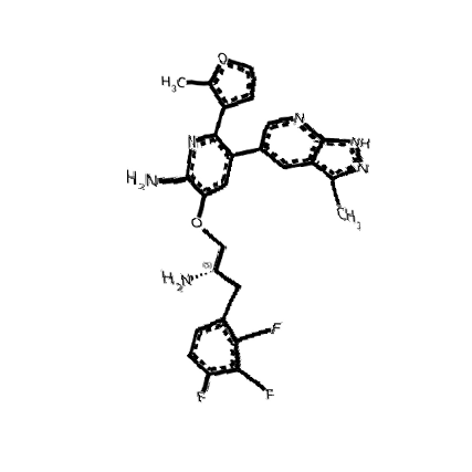 Cc1occc1-c1nc(N)c(OC[C@@H](N)Cc2ccc(F)c(F)c2F)cc1-c1cnc2[nH]nc(C)c2c1